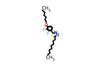 CCCCCCCCCc1nnc(-c2ccc(OCCCCCCC)c(F)c2F)s1